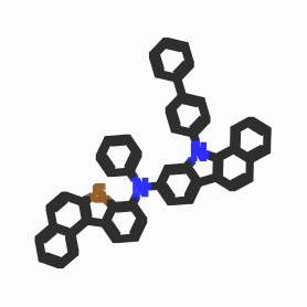 c1ccc(-c2ccc(-n3c4cc(N(c5ccccc5)c5cccc6c5sc5ccc7ccccc7c56)ccc4c4ccc5ccccc5c43)cc2)cc1